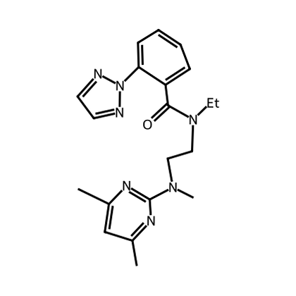 CCN(CCN(C)c1nc(C)cc(C)n1)C(=O)c1ccccc1-n1nccn1